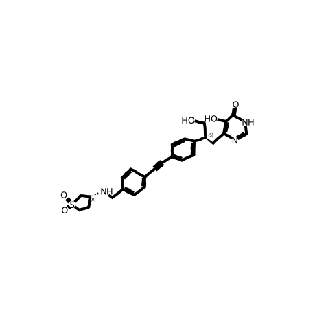 O=c1[nH]cnc(C[C@H](CO)c2ccc(C#Cc3ccc(CN[C@@H]4CCS(=O)(=O)C4)cc3)cc2)c1O